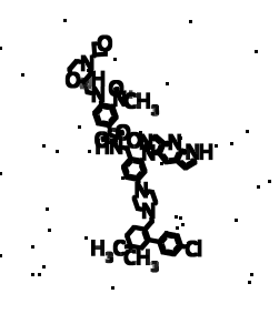 C[N+](=O)c1cc(S(=O)(=O)NC(=O)c2ccc(N3CCN(CC4=C(c5ccc(Cl)cc5)CC(C)(C)CC4)CC3)cc2-n2ncc3nc4[nH]ccc4cc32)ccc1NC[C@@H]1CN(C2COC2)CCO1